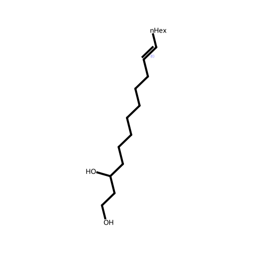 CCCCCC/C=C/CCCCCCCC(O)CCO